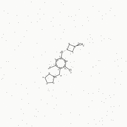 [CH2][C@H]1C[C@H](Oc2cc(F)c(CN3CCCC3)c(Cl)c2)C1